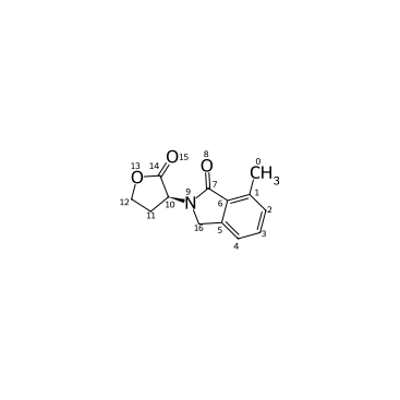 Cc1cccc2c1C(=O)N([C@H]1CCOC1=O)C2